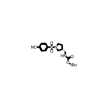 CC(C)(C)OC(=O)NC[C@H]1CCN(S(=O)(=O)c2ccc(C#N)cc2)C1